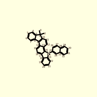 CC1(C)c2ccccc2-c2c1ccc1c2ccc2c3ccccc3n(-c3ccc4ccccc4c3)c12